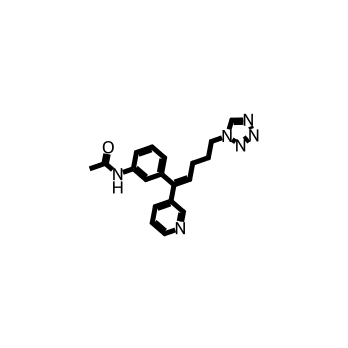 CC(=O)Nc1cccc(/C(=C\CCCn2cnnn2)c2cccnc2)c1